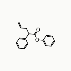 C=CCC(C(=O)Oc1ccccc1)c1ccccc1